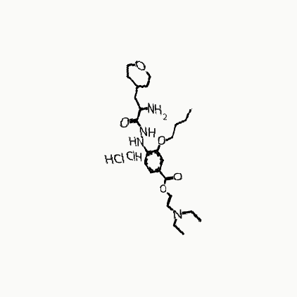 CCCCOc1cc(C(=O)OCCN(CC)CC)ccc1NNC(=O)C(N)CC1CCOCC1.Cl.Cl